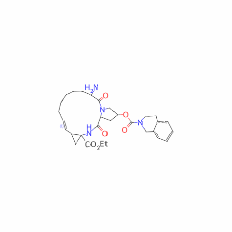 CCOC(=O)C12CC1/C=C/CCCCCC(N)C(=O)N1CC(OC(=O)N3CCc4ccccc4C3)CC1C(=O)N2